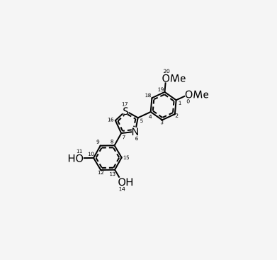 COc1ccc(-c2nc(-c3cc(O)cc(O)c3)cs2)cc1OC